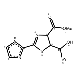 COC(=O)C1N=C(c2nccs2)SC1C(O)C(C)C